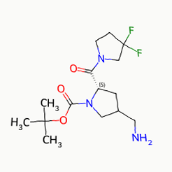 CC(C)(C)OC(=O)N1CC(CN)C[C@H]1C(=O)N1CCC(F)(F)C1